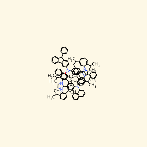 CC(C)C1=CC=CC(C(C)Cc2ccc3c(c2)CC(c2ccccc2)c2ccc(N(c4ccc(C5N(c6c(C(C)C)cccc6C(C)C)CCN5c5c(C(C)C)cccc5C(C)C)cc4)c4cccc5ccccc45)cc2-3)=CC1N1C=CN(c2c(C(C)C)cccc2C(C)C)C1c1ccc(N(c2ccc3c(c2)-c2ccccc2C3c2ccccc2)c2cccc3ccccc23)cc1